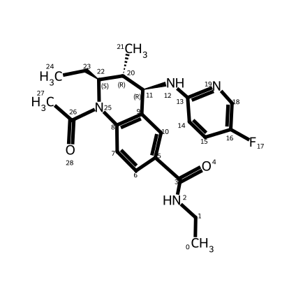 CCNC(=O)c1ccc2c(c1)[C@H](Nc1ccc(F)cn1)[C@@H](C)[C@H](CC)N2C(C)=O